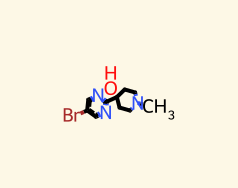 CN1CCC(O)(c2ncc(Br)cn2)CC1